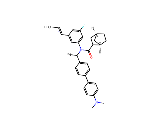 [2H]C(c1ccc(-c2ccc(N(C)C)cc2)cc1)N(C(=O)C1C[C@H]2CC[C@@H]1C2)c1cc(F)cc(/C=C/C(=O)O)c1